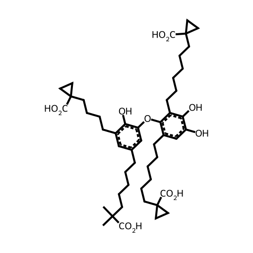 CC(C)(CCCCCc1cc(CCCCC2(C(=O)O)CC2)c(O)c(Oc2c(CCCCCCC3(C(=O)O)CC3)cc(O)c(O)c2CCCCCCC2(C(=O)O)CC2)c1)C(=O)O